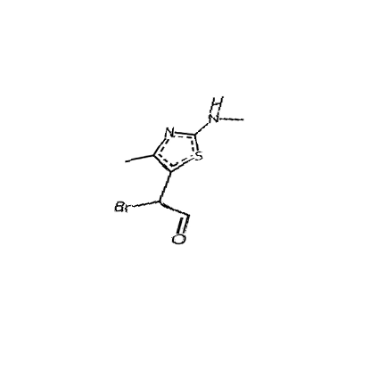 CNc1nc(C)c(C(Br)C=O)s1